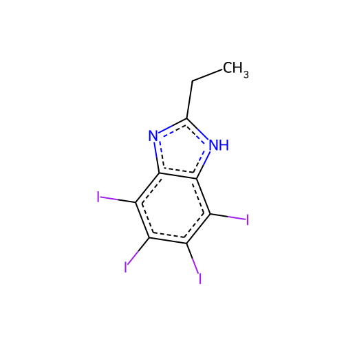 CCc1nc2c(I)c(I)c(I)c(I)c2[nH]1